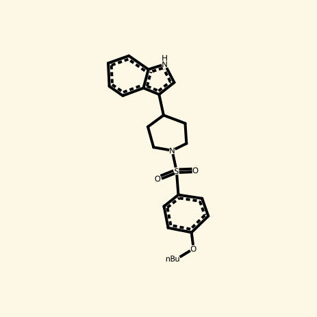 CCCCOc1ccc(S(=O)(=O)N2CCC(c3c[nH]c4ccccc34)CC2)cc1